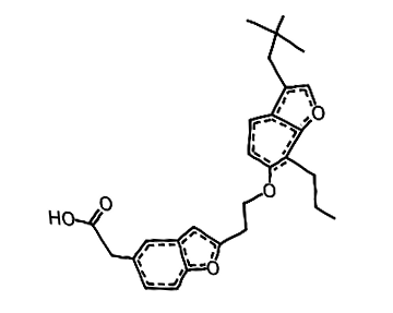 CCCc1c(OCCc2cc3cc(CC(=O)O)ccc3o2)ccc2c(CC(C)(C)C)coc12